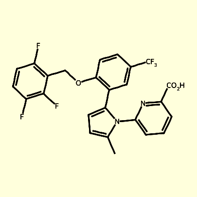 Cc1ccc(-c2cc(C(F)(F)F)ccc2OCc2c(F)ccc(F)c2F)n1-c1cccc(C(=O)O)n1